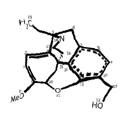 COC1=CC=C2C3Cc4ccc(CO)c5c4[C@@]2(CCN3C)C1O5